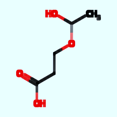 CC(O)OCCC(=O)O